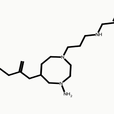 C=C(CC)CC1CCN(CCCNCC=O)CCN(N)C1